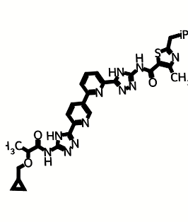 Cc1nc(CC(C)C)sc1C(=O)Nc1nnc(-c2cccc(-c3ccc(-c4nnc(NC(=O)C(C)OCC5CC5)[nH]4)nc3)n2)[nH]1